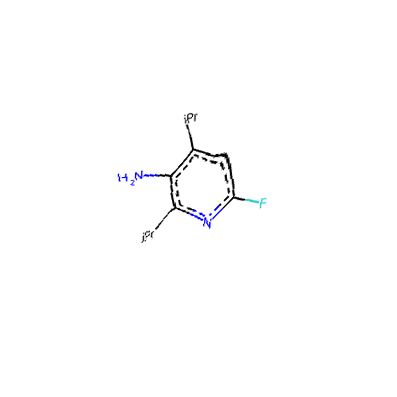 CC(C)c1cc(F)nc(C(C)C)c1N